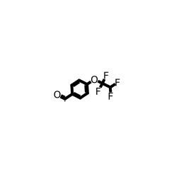 O=[C]c1ccc(OC(F)(F)C(F)F)cc1